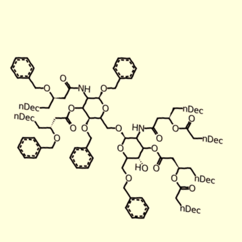 CCCCCCCCCCCC(=O)O[C@H](CCCCCCCCCCC)CC(=O)NC1C(OC(=O)C[C@@H](CCCCCCCCCCC)OC(=O)CCCCCCCCCCC)[C@H](O)C(COCc2ccccc2)O[C@H]1OCC1O[C@H](OCc2ccccc2)C(NC(=O)C[C@@H](CCCCCCCCCCC)OCc2ccccc2)C(OC(=O)C[C@@H](CCCCCCCCCCC)OCc2ccccc2)[C@@H]1OCc1ccccc1